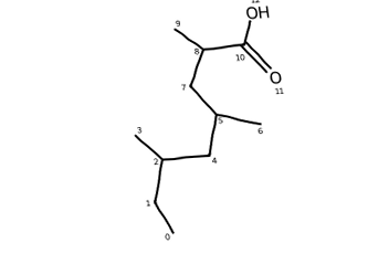 CCC(C)CC(C)CC(C)C(=O)O